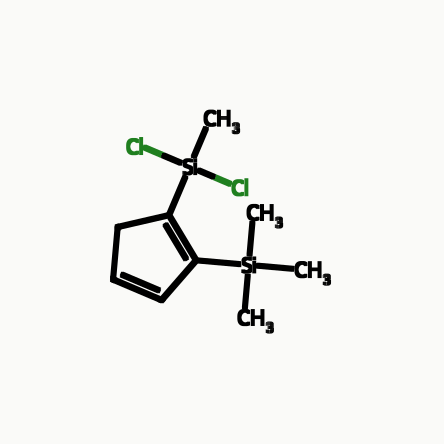 C[Si](C)(C)C1=C([Si](C)(Cl)Cl)CC=C1